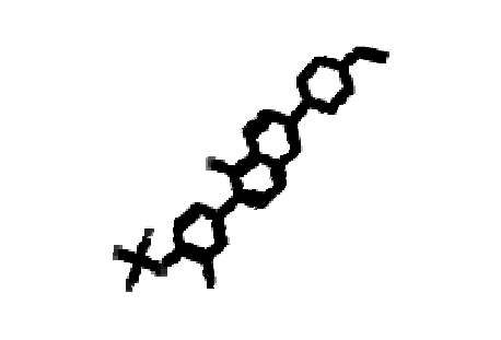 C=CC1CCC(c2ccc3c(F)c(-c4ccc(OC(F)(F)F)c(F)c4)ccc3c2)CC1